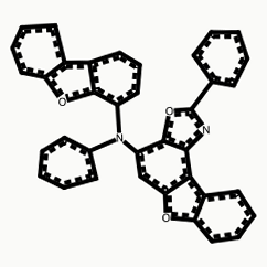 c1ccc(-c2nc3c(o2)c(N(c2ccccc2)c2cccc4c2oc2ccccc24)cc2oc4ccccc4c23)cc1